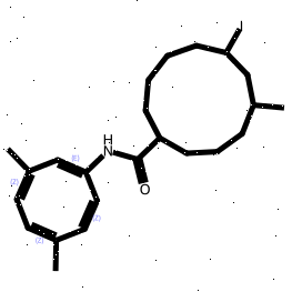 CC1=C/C=C(C)\C=C(NC(=O)C2CCCCC(I)CC(C)CCC2)/C=C\1